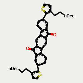 CCCCCCCCCCCCc1ccsc1-c1ccc2c(c1)c(=O)c1cc3c(cc12)c(=O)c1cc(-c2sccc2CCCCCCCCCCCC)ccc13